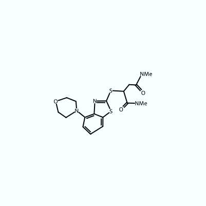 CNC(=O)CC(Sc1nc2c(N3CCOCC3)cccc2s1)C(=O)NC